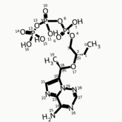 CC[C@@H](COP(=O)(O)OP(=O)(O)OP(=O)(O)O)O[C@H](C)c1cnc2c(N)ncnn12